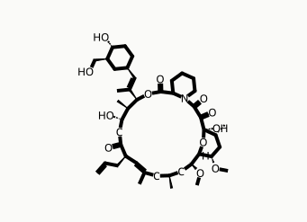 C=CC[C@@H]1/C=C(\C)C[C@H](C)C[C@H](OC)[C@H]2O[C@@](O)(C(=O)C(=O)N3CCCCC3C(=O)O[C@H](/C(C)=C/[C@@H]3CC[C@@H](O)[C@H](CO)C3)[C@H](C)[C@@H](O)CC1=O)[C@H](C)C[C@@H]2OC